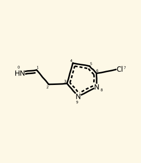 N=CCc1ccc(Cl)nn1